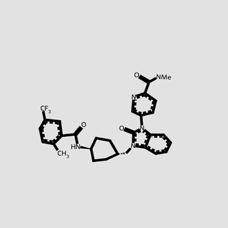 CNC(=O)c1ccc(-n2c(=O)n(C[C@H]3CC[C@H](NC(=O)c4cc(C(F)(F)F)ccc4C)CC3)c3ccccc32)cn1